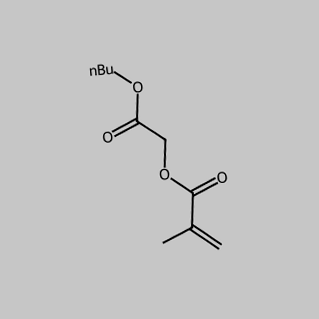 C=C(C)C(=O)OCC(=O)OCCCC